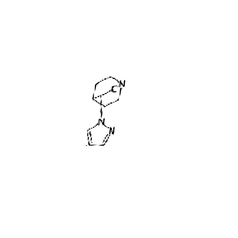 [c]1cnn(C2CN3CCC2CC3)c1